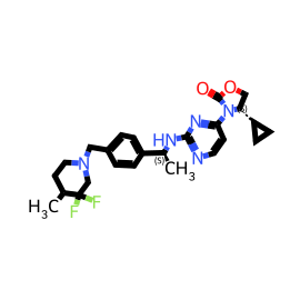 CC1CCN(Cc2ccc([C@H](C)Nc3nccc(N4C(=O)OC[C@@H]4C4CC4)n3)cc2)CC1(F)F